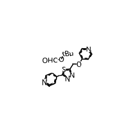 CC(C)(C)OC=O.c1cc(OCc2nnc(-c3ccncc3)s2)ccn1